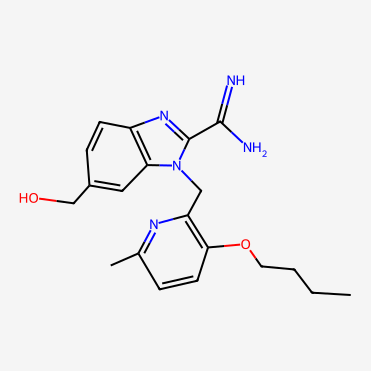 CCCCOc1ccc(C)nc1Cn1c(C(=N)N)nc2ccc(CO)cc21